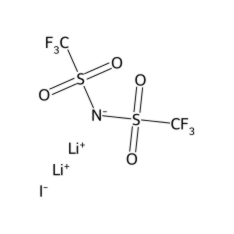 O=S(=O)([N-]S(=O)(=O)C(F)(F)F)C(F)(F)F.[I-].[Li+].[Li+]